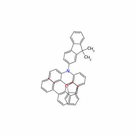 CC1(C)c2ccccc2-c2ccc(N(c3ccccc3-c3cccc4cccc(-c5ccccc5)c34)c3cccc4c3oc3ccccc34)cc21